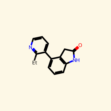 CCc1ncccc1-c1cccc2c1CC(=O)N2